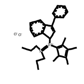 CCC[Si](CCC)=[Zr+2]([C]1=C(C)C(C)=C(C)C1C)[CH]1C=C(c2ccccc2)c2ccccc21.[Cl-].[Cl-]